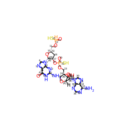 Nc1nc2c(ncn2[C@@H]2O[C@H](CO[PH](=O)S)C[C@H]2OP(=O)(S)OC[C@@]23CO[C@@H]([C@H](n4cnc5c(N)ncnc54)O2)[C@@H]3O)c(=O)[nH]1